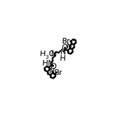 CN(CCCNC(=O)c1cccc2cc3cccc(Br)c3nc12)CCCNC(=O)c1cccc2cc3cccc(Br)c3nc12